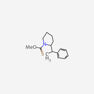 COC(=S)N1CCCCC1C(C)c1ccccc1